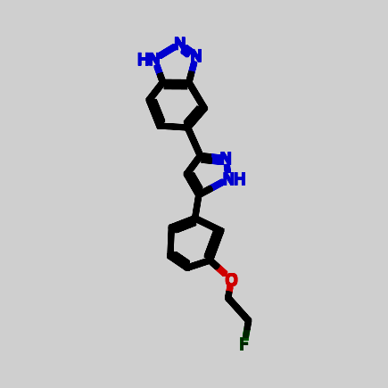 FCCOc1cccc(-c2cc(-c3ccc4[nH]nnc4c3)n[nH]2)c1